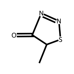 CC1SN=NC1=O